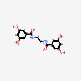 O=C(NCCNC(=O)c1cc(O)cc(O)c1)c1cc(O)cc(O)c1